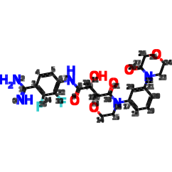 N=C(N)c1ccc(NC(=O)[C@H](O)[C@H]2OCCN(c3cccc(N4CCOCC4=O)c3)C2=O)c(F)c1F